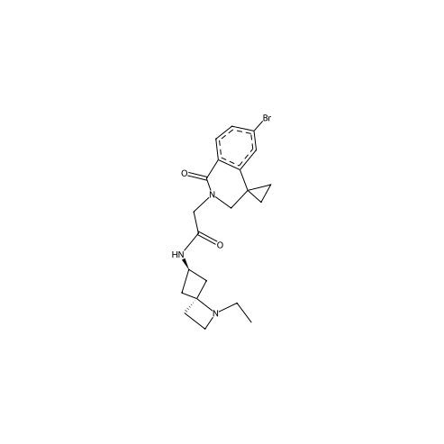 CCN1CC[C@]12C[C@H](NC(=O)CN1CC3(CC3)c3cc(Br)ccc3C1=O)C2